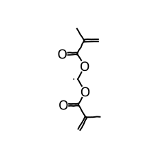 C=C(C)C(=O)O[CH]OC(=O)C(=C)C